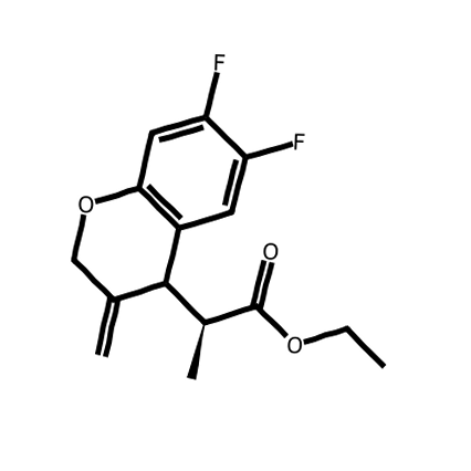 C=C1COc2cc(F)c(F)cc2C1[C@H](C)C(=O)OCC